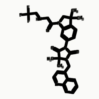 CC1(C)CN(C(=O)CNCC(F)(F)F)c2cc(N3C(=O)N(Cc4ccnc5ccccc45)C(C)(C)C3=O)ccc21